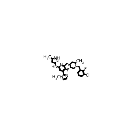 Cc1cc(Nc2cc(-c3nccn3C)c(F)c(C[C@@H]3CCN(Cc4cccc(Cl)c4F)[C@H](C)C3)n2)n[nH]1